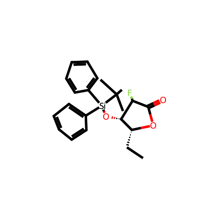 CC[C@H]1OC(=O)C(F)[C@H]1O[Si](c1ccccc1)(c1ccccc1)C(C)(C)C